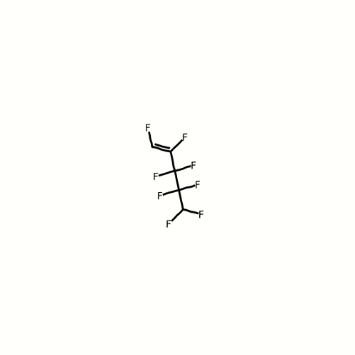 FC=C(F)C(F)(F)C(F)(F)C(F)F